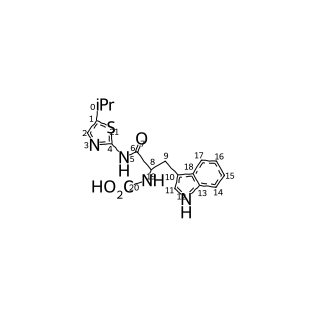 CC(C)c1cnc(NC(=O)C(Cc2c[nH]c3ccccc23)NC(=O)O)s1